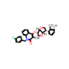 N#Cc1c(O[C@H]2CO[C@H]3[C@H]2OC[C@@H]3c2ccccc2C(=O)O)c2ccccc2n(Cc2ccc(F)cc2)c1=O